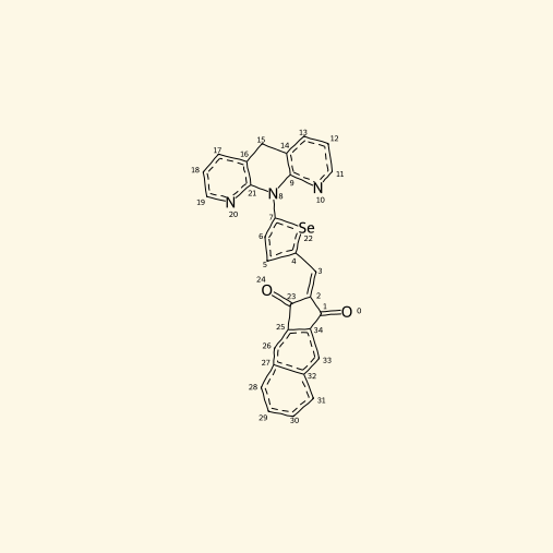 O=C1C(=Cc2ccc(N3c4ncccc4Cc4cccnc43)[se]2)C(=O)c2cc3ccccc3cc21